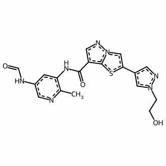 Cc1ncc(NC=O)cc1NC(=O)c1cnn2cc(-c3cnn(CCO)c3)sc12